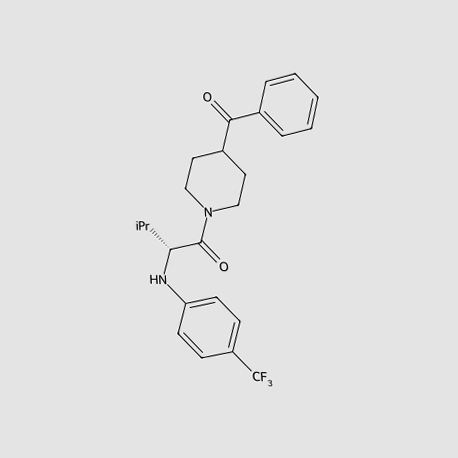 CC(C)[C@@H](Nc1ccc(C(F)(F)F)cc1)C(=O)N1CCC(C(=O)c2ccccc2)CC1